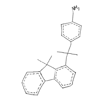 CC(C)(c1ccc(N)cc1)c1cccc2c1C(C)(C)c1ccccc1-2